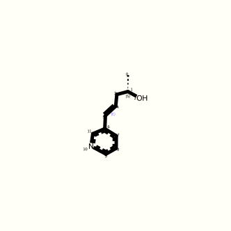 C[C@H](O)C/C=C/c1cccnc1